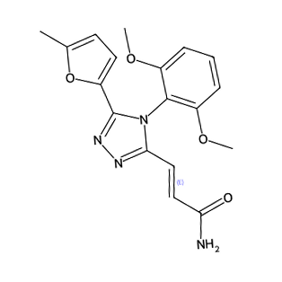 COc1cccc(OC)c1-n1c(/C=C/C(N)=O)nnc1-c1ccc(C)o1